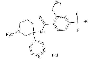 CCc1cc(C(F)(F)F)ccc1C(=O)NC1(c2ccncc2)CCCN(C)C1.Cl